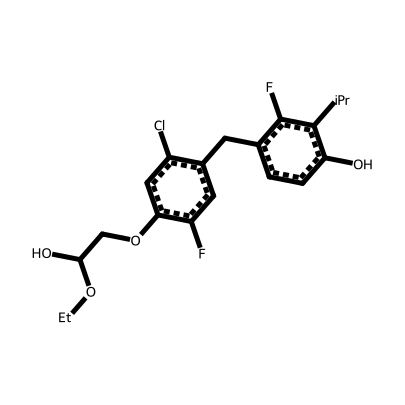 CCOC(O)COc1cc(Cl)c(Cc2ccc(O)c(C(C)C)c2F)cc1F